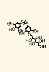 CC(C)(Sc1cc(C(C)(C)C)c(O)c(C(C)(C)C)c1)Sc1cc(C(C)(C)C)c(OC[C@@H](O)[C@H](O)[C@H](O)[C@H](O)CO)c(C(C)(C)C)c1